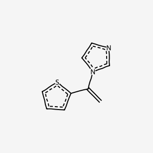 C=C(c1cccs1)n1ccnc1